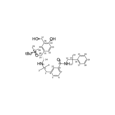 CC(C)(Cc1cccc(C(=O)NCC(C)(C)c2ccccc2)c1)NC[C@H](O[Si](C)(C)C(C)(C)C)c1ccc(O)c(CO)c1